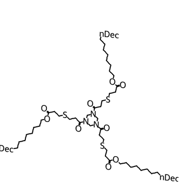 CCCCCCCCCCCCCCCCCCOC(=O)CCSCCC(=O)N1CN(C(=O)CCSCCC(=O)OCCCCCCCCCCCCCCCCCC)CN(C(=O)CCSCCC(=O)OCCCCCCCCCCCCCCCCCC)C1